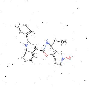 CCC(NC(=O)c1cc(-c2ccccc2)nc2ccccc12)c1ccc[n+]([O-])c1